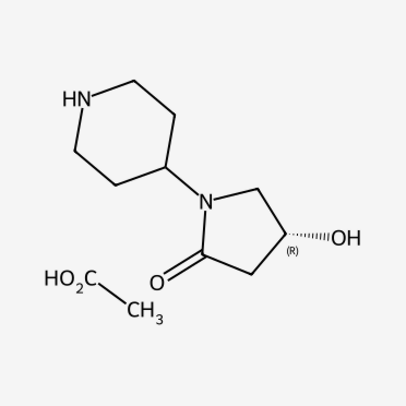 CC(=O)O.O=C1C[C@@H](O)CN1C1CCNCC1